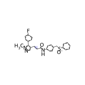 Cn1ncc(/C=C/C(=O)Nc2ccc(C[S+]([O-])c3ccccc3)cc2)c1-c1ccc(F)cc1